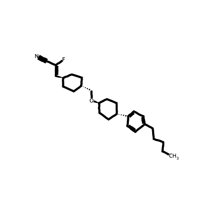 CCCCCc1ccc([C@H]2CC[C@H](OC[C@H]3CC[C@H](C=C(F)C#N)CC3)CC2)cc1